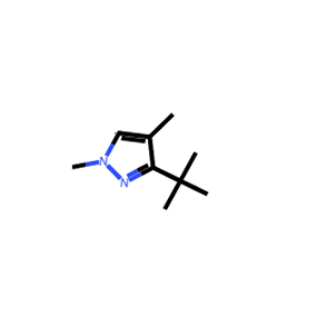 Cc1[c]n(C)nc1C(C)(C)C